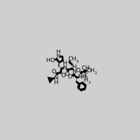 CCC[C@H](NC(=O)[C@@H](Cc1ccccc1)NC(=O)C(C)(C)C)C(=O)N[C@@H](C[C@@H]1CCNC1O)C(=O)C(=O)NC1CC1